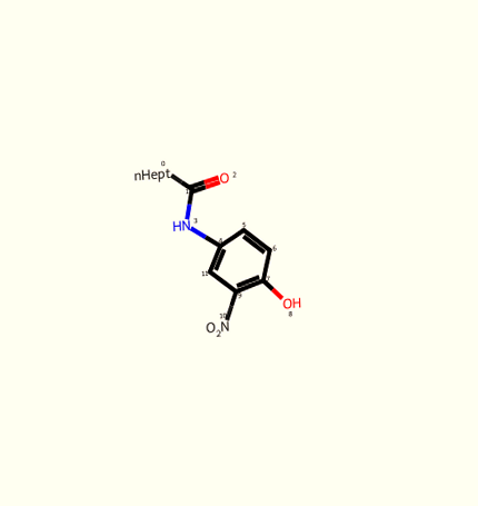 CCCCCCCC(=O)Nc1ccc(O)c([N+](=O)[O-])c1